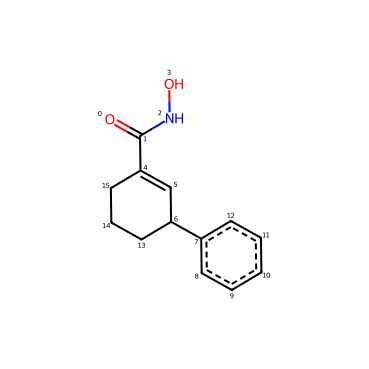 O=C(NO)C1=CC(c2ccccc2)CCC1